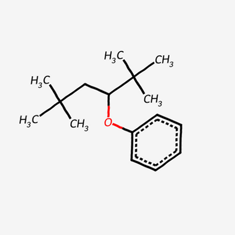 CC(C)(C)CC(Oc1ccccc1)C(C)(C)C